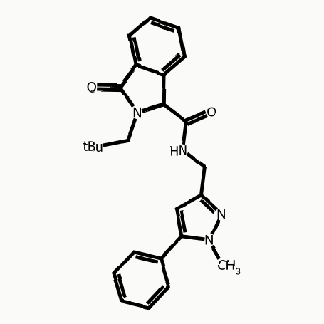 Cn1nc(CNC(=O)C2c3ccccc3C(=O)N2CC(C)(C)C)cc1-c1ccccc1